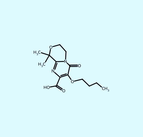 CCCCOc1c(C(=O)O)nc2n(c1=O)CCOC2(C)C